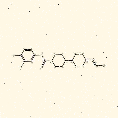 O=C(Oc1ccc(F)c(F)c1)[C@H]1CC[C@H](C2CCC(/C=C/Cl)CC2)CC1